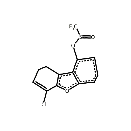 O=S(Oc1cccc2oc3c(c12)CCC=C3Cl)C(F)(F)F